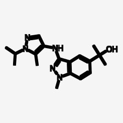 Cc1c(Nc2nn(C)c3ccc(C(C)(C)O)cc23)cnn1C(C)C